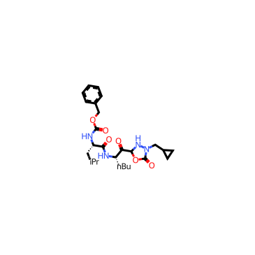 CCCC[C@H](NC(=O)[C@H](CC(C)C)NC(=O)OCc1ccccc1)C(=O)C1NN(CC2CC2)C(=O)O1